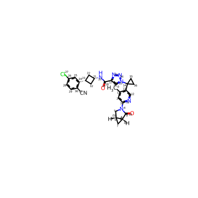 Cc1cc(N2C[C@H]3C[C@H]3C2=O)ncc1C1(n2cc(C(=O)N[C@H]3C[C@@H](c4cc(Cl)ccc4C#N)C3)nn2)CC1